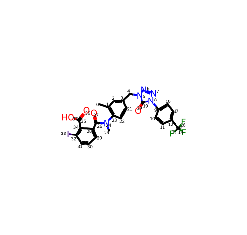 Cc1cc(Cn2nnn(-c3ccc(C(F)(F)F)cc3)c2=O)ccc1N(C)C(=O)c1cccc(I)c1C(=O)O